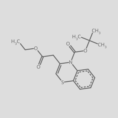 CCOC(=O)CC1=CSc2ccccc2N1C(=O)OC(C)(C)C